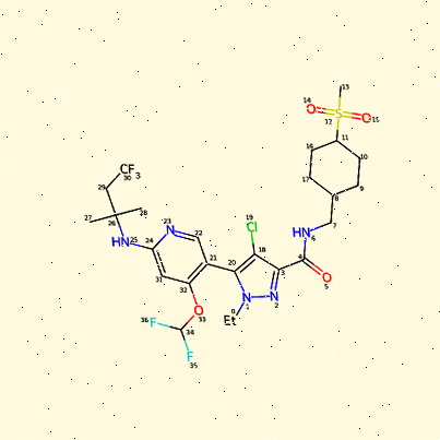 CCn1nc(C(=O)NCC2CCC(S(C)(=O)=O)CC2)c(Cl)c1-c1cnc(NC(C)(C)CC(F)(F)F)cc1OC(F)F